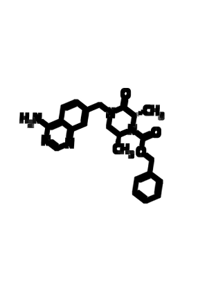 C[C@H]1CN(Cc2ccc3c(N)ncnc3c2)C(=O)[C@H](C)N1C(=O)OCc1ccccc1